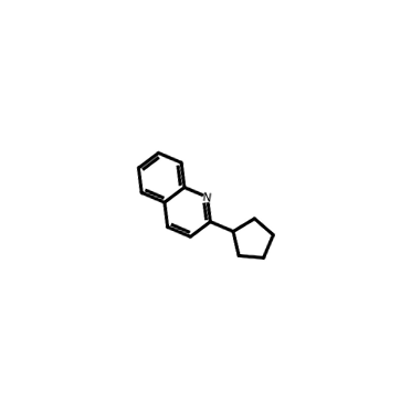 c1ccc2nc(C3CCCC3)ccc2c1